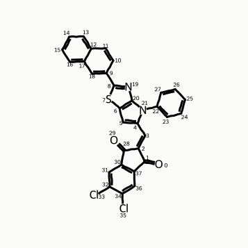 O=C1C(=Cc2cc3sc(-c4ccc5ccccc5c4)nc3n2-c2ccccc2)C(=O)c2cc(Cl)c(Cl)cc21